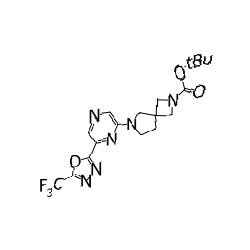 CC(C)(C)OC(=O)N1CC2(CCN(c3cncc(-c4nnc(C(F)(F)F)o4)n3)C2)C1